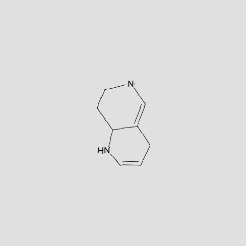 C1=CNC2CC[N]C=C2C1